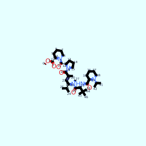 COC(=O)[C@@H]1CCCCN1C(=O)[C@@H]1CCCN1C(=O)/C(C)=C/[C@H](C(C)C)N(C)C(=O)[C@@H](NC(=O)C1CCCCN1C(C)C)C(C)(C)C